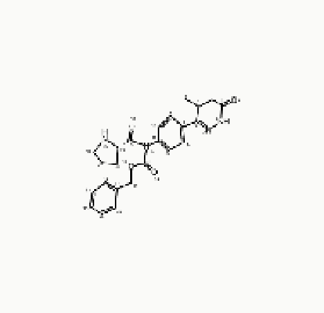 CC1CC(=O)NN=C1c1ccc(N(C(=O)OCc2ccccc2)C(=O)[C@@H]2CCCN2)cc1